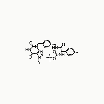 CCn1cnc2c1c(=O)[nH]c(=O)n2Cc1ccc(CNC(=O)C(NC(=O)OC(C)(C)C)c2ccc(C)cc2)cc1